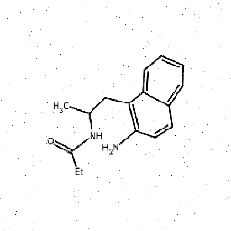 CCC(=O)NC(C)Cc1c(N)ccc2ccccc12